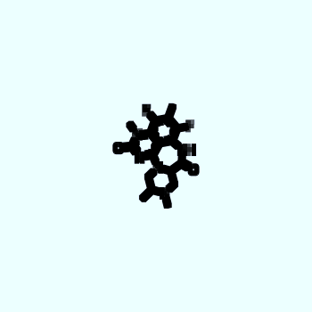 Cc1c(F)c2c3c(nc(=O)n(C)c3c1F)N1CC(C)N(C)CC1C(=O)N2